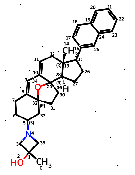 CC1(O)CN([C@H]2CCC3=CC4=CC[C@]5(C)C(c6ccc7ccccc7c6)CC[C@H]5C45CC[C@]3(C2)O5)C1